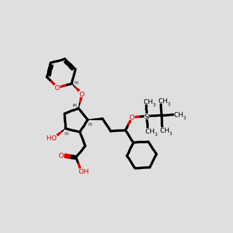 CC(C)(C)[Si](C)(C)OC(CC[C@H]1C(CC(=O)O)[C@@H](O)C[C@H]1O[C@@H]1C=CC=CO1)C1CCCCC1